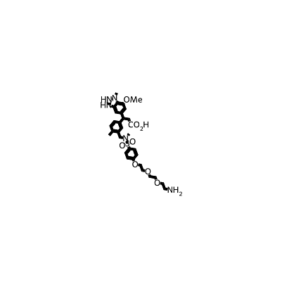 COc1cc(C(CC(=O)O)c2ccc(C)c(CN(C)S(=O)(=O)c3ccc(OCCOCCOCCN)cc3)c2)cc2c1N(C)NN2